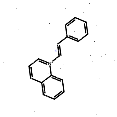 C(=C\[n+]1cccc2ccccc21)/c1ccccc1